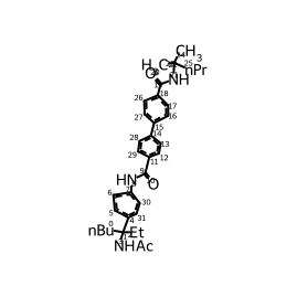 CCCCC(CC)(NC(C)=O)c1ccc(NC(=O)c2ccc(-c3ccc(C(=O)NC(C)(C)CCC)cc3)cc2)cc1